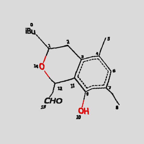 CCC(C)C1Cc2c(C)cc(C)c(O)c2C(C=O)O1